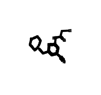 N#Cc1cc(CN2CCOCC2)cc(NC(=O)CCl)c1